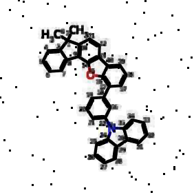 CC1(C)c2ccccc2-c2c1ccc1c2oc2c(-c3cccc(-n4c5ccccc5c5ccccc54)c3)cccc21